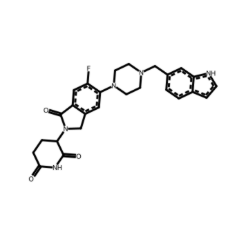 O=C1CCC(N2Cc3cc(N4CCN(Cc5ccc6cc[nH]c6c5)CC4)c(F)cc3C2=O)C(=O)N1